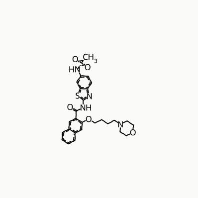 CS(=O)(=O)Nc1ccc2nc(NC(=O)c3cc4ccccc4cc3OCCCCN3CCOCC3)sc2c1